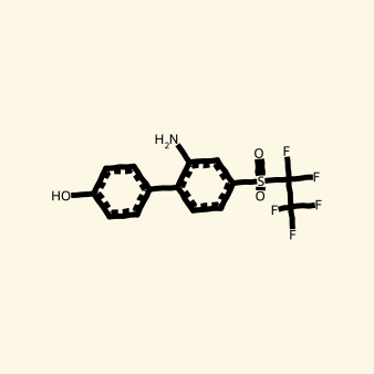 Nc1cc(S(=O)(=O)C(F)(F)C(F)(F)F)ccc1-c1ccc(O)cc1